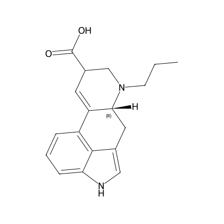 CCCN1CC(C(=O)O)C=C2c3cccc4[nH]cc(c34)C[C@H]21